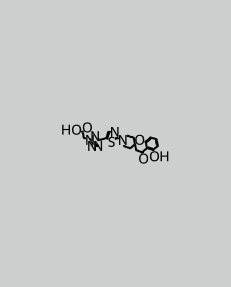 O=C(O)Cn1nnc(-c2cnc(N3CCC4(CC3)CC(=O)c3c(O)cccc3O4)s2)n1